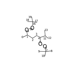 CC(CCC(OOC(C)(C)C)C(C)C)OOC(C)(C)C